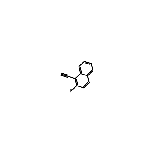 C#Cc1c(F)ccc2ccccc12